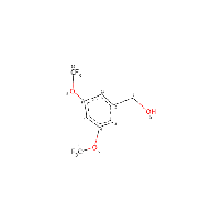 O[CH]c1cc(OC(F)(F)F)cc(OC(F)(F)F)c1